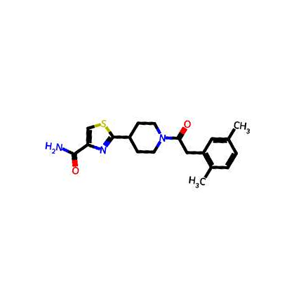 Cc1ccc(C)c(CC(=O)N2CCC(c3nc(C(N)=O)cs3)CC2)c1